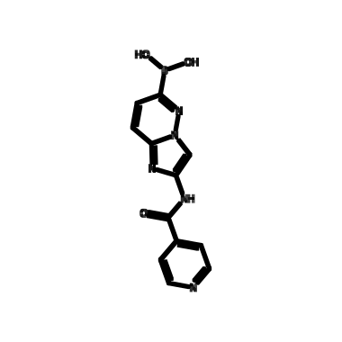 O=C(Nc1cn2nc(B(O)O)ccc2n1)c1ccncc1